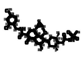 COc1c(N2C[C@@H](C)N(CC(=O)NS(C)(=O)=O)[C@@H](C)C2)c(F)cc2c(=O)c(C(=O)NCc3ccc(Cl)cc3Cl)cn(C3CC3)c12